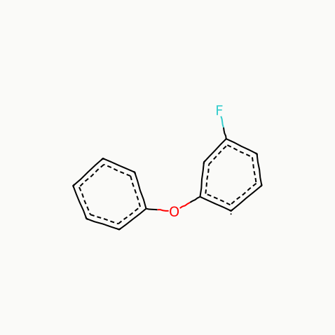 Fc1cc[c]c(Oc2ccccc2)c1